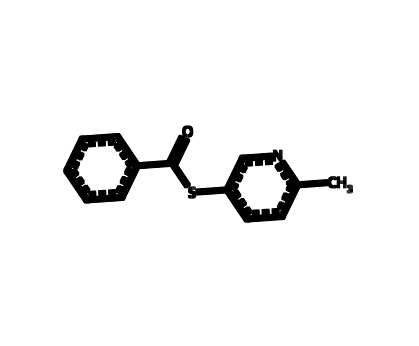 Cc1ccc(SC(=O)c2ccccc2)cn1